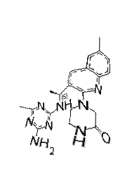 Cc1ccc2nc(N3CCNC(=O)C3)c([C@H](C)Nc3nc(C)nc(N)n3)cc2c1